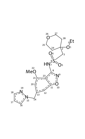 CCOC1(CS(=O)(=O)Nc2noc3cc(Cn4cccn4)cc(OC)c23)CCOCC1